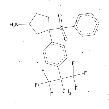 CC(c1ccc(C2(S(=O)(=O)c3ccccc3)CCC(N)C2)cc1)(C(F)(F)F)C(F)(F)F